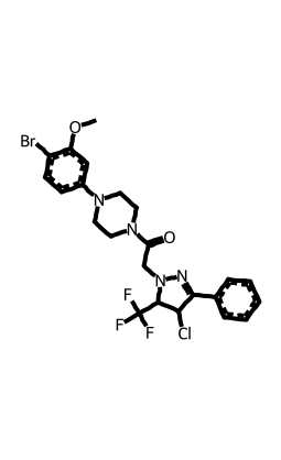 COc1cc(N2CCN(C(=O)CN3N=C(c4ccccc4)C(Cl)C3C(F)(F)F)CC2)ccc1Br